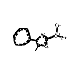 CC[S+]([O-])c1nc(-c2ccccc2)c(C)s1